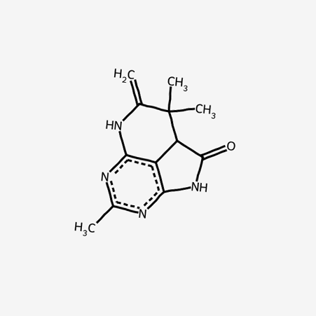 C=C1Nc2nc(C)nc3c2C(C(=O)N3)C1(C)C